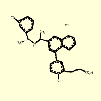 CC(N[C@H](C)c1cccc(Cl)c1)c1cc(-c2ccc(C(F)(F)F)c(CCC(=O)O)c2)c2ccccc2c1.Cl